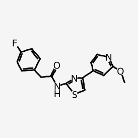 COc1cc(-c2csc(NC(=O)Cc3ccc(F)cc3)n2)ccn1